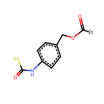 CCC(=O)OCc1ccc(NC(=O)S)cc1